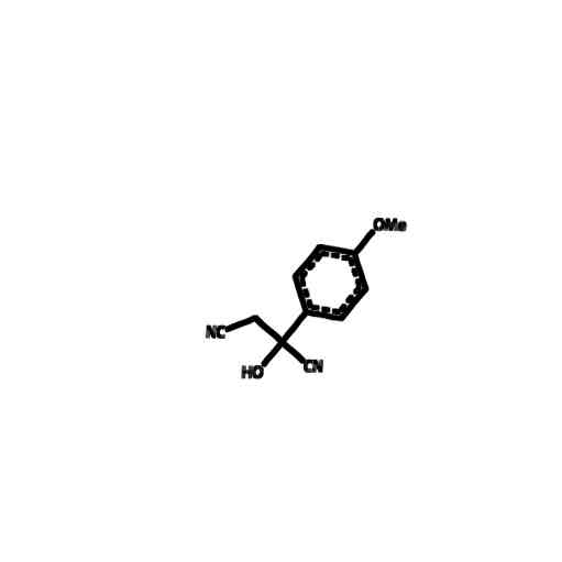 COc1ccc(C(O)(C#N)CC#N)cc1